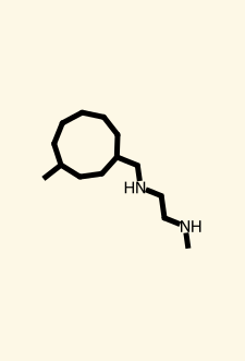 CNCCNCC1CCCCCC(C)CC1